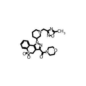 Cc1nc(CN2CCCC(n3nc(C(=O)N4CCOCC4)c4c3-c3ccccc3S(=O)(=O)C4)C2)no1